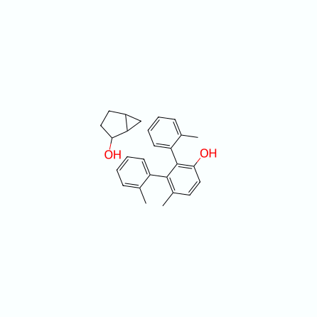 Cc1ccccc1-c1c(C)ccc(O)c1-c1ccccc1C.OC1CCC2CC12